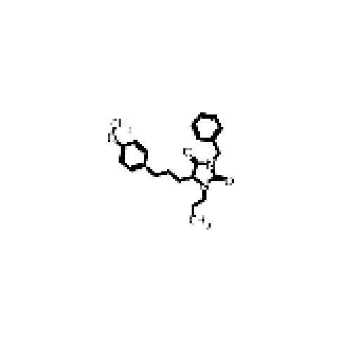 CCCN1C(=O)N(Cc2ccccc2)C(=O)C1CCCc1ccc(OC)cc1